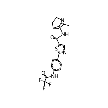 CC1C(NC(=O)c2cnc(-c3ccc(NC(=O)C(F)(F)F)cc3)s2)C2CCN1CC2